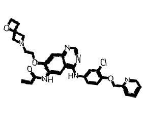 C=CC(=O)Nc1cc2c(Nc3ccc(OCc4ccccn4)c(Cl)c3)ncnc2cc1OCCN1CC2(CCO2)C1